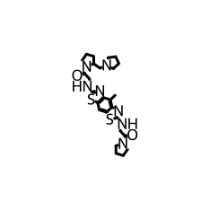 Cc1c2nc(NCC(=O)N3CCCC3)sc2cc2sc(NCC(=O)N3CCCC3CN3CCCC3)nc12